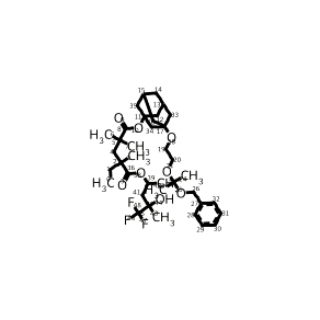 CCC(C)(CC(C)(C)C(=O)OC12CC3CC(CC(OCCOC(C)(C)OCc4ccccc4)(C3)C1)C2)C(=O)OC(C)CC(C)(O)C(F)(F)F